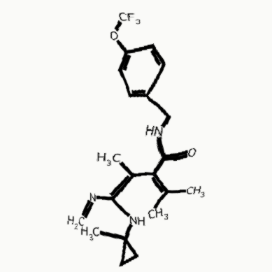 C=N/C(NC1(C)CC1)=C(\C)C(C(=O)NCc1ccc(OC(F)(F)F)cc1)=C(C)C